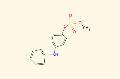 COS(=O)(=O)Oc1ccc(Nc2ccccc2)cc1